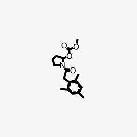 COC(=O)OC1CCCN1C(=O)Cc1c(C)cc(C)cc1C